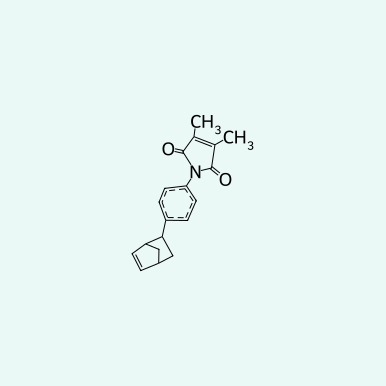 CC1=C(C)C(=O)N(c2ccc(C3CC4C=CC3C4)cc2)C1=O